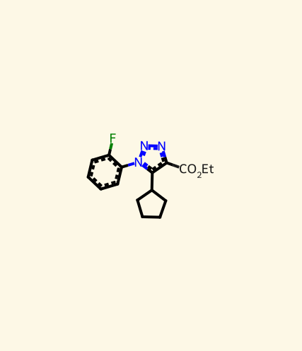 CCOC(=O)c1nnn(-c2ccccc2F)c1C1CCCC1